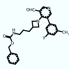 Cc1cc(F)cc(-c2cncc(C=O)c2N2CC(CCCNC(=O)OCc3ccccc3)C2)c1